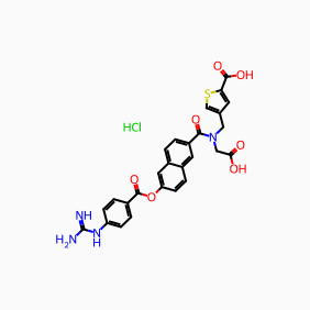 Cl.N=C(N)Nc1ccc(C(=O)Oc2ccc3cc(C(=O)N(CC(=O)O)Cc4csc(C(=O)O)c4)ccc3c2)cc1